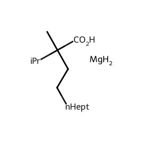 CCCCCCCCCC(C)(C(=O)O)C(C)C.[MgH2]